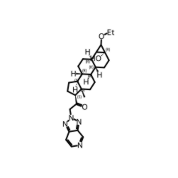 CCOC1C2[C@@H]3CC[C@@H]4[C@H](CC[C@]5(C)[C@@H](C(=O)Cn6nc7ccncc7n6)CC[C@@H]45)[C@H]3CC[C@]12O